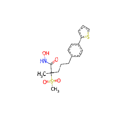 CC(CCCc1ccc(-c2cccs2)cc1)(C(=O)NO)S(C)(=O)=O